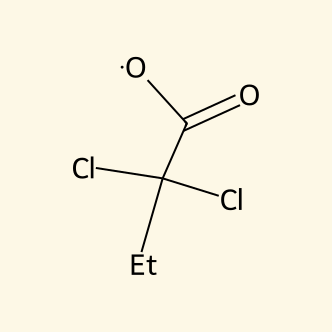 CCC(Cl)(Cl)C([O])=O